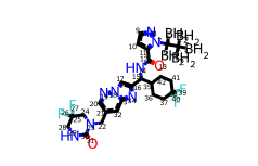 BC(B)(B)C(B)(B)n1nccc1C(=O)NC(c1cn2ncc(CN3CC(F)(F)CNC3=O)cc2n1)C1CCC(F)(F)CC1